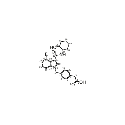 O=C(O)Cc1ccc(Cn2cc(C(=O)N[C@H]3CCCC[C@@H]3O)c3c(F)cccc32)cc1